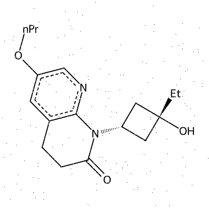 CCCOc1cnc2c(c1)CCC(=O)N2[C@H]1C[C@](O)(CC)C1